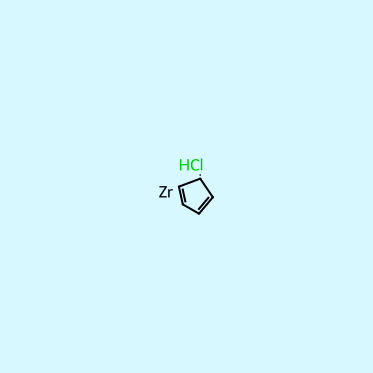 Cl.[CH]1C=CC=C1.[Zr]